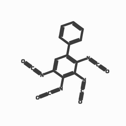 O=C=Nc1cc(-c2ccccc2)c(N=C=O)c(N=C=O)c1N=C=O